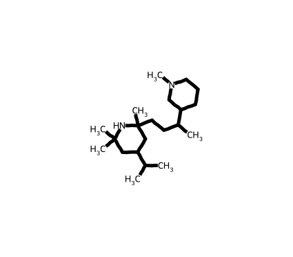 CC(C)C1CC(C)(C)NC(C)(CCC(C)C2CCCN(C)C2)C1